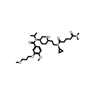 COCCCOc1cc(C(=O)N(C(C)C)C2CCC(CCN(C(=O)CCCC(=O)N(C)C)C3CC3)NC2)ccc1OC